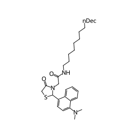 CCCCCCCCCCCCCCCCCCNC(=O)CN1C(=O)CSC1c1ccc(N(C)C)c2ccccc12